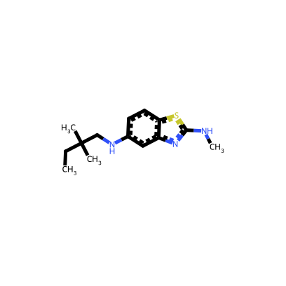 CCC(C)(C)CNc1ccc2sc(NC)nc2c1